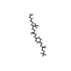 CC(C)(C)CCC(=O)OCC1CCC(COC(=O)CCN(CCOCCO)C(C)(C)C)CC1